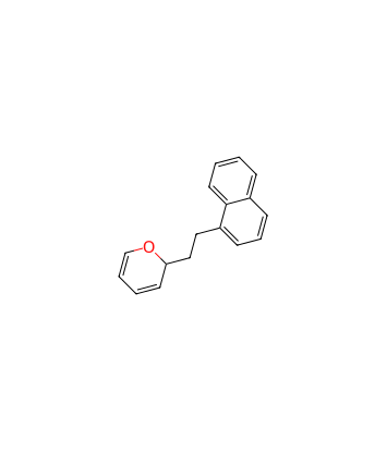 C1=COC(CCc2cccc3ccccc23)C=C1